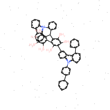 Bc1c(B)c(B)c2c(c1B)-c1c(B)c(-c3ccc4c(c3)c3c(-c5ccccc5)cccc3n4-c3ccc(-c4ccccc4)cc3)c(B)c(B)c1C2c1ccccc1-n1c2ccccc2c2ccccc21